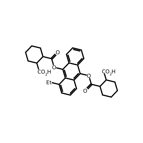 CCc1cccc2c(OC(=O)C3CCCCC3C(=O)O)c3ccccc3c(OC(=O)C3CCCCC3C(=O)O)c12